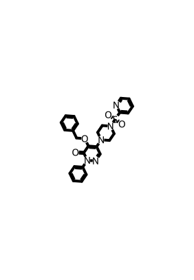 O=c1c(OCc2ccccc2)c(N2CCN(S(=O)(=O)c3ccccn3)CC2)cnn1-c1ccccc1